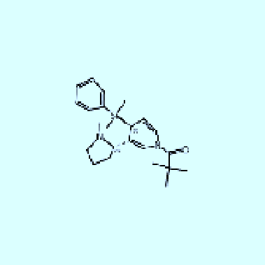 CN1CCC[C@H]1C1=CN(C(=O)C(C)(C)C)C=C[C@@H]1[Si](C)(C)c1ccccc1